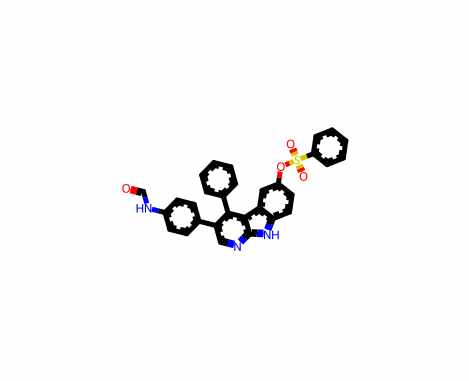 O=CNc1ccc(-c2cnc3[nH]c4ccc(OS(=O)(=O)c5ccccc5)cc4c3c2-c2ccccc2)cc1